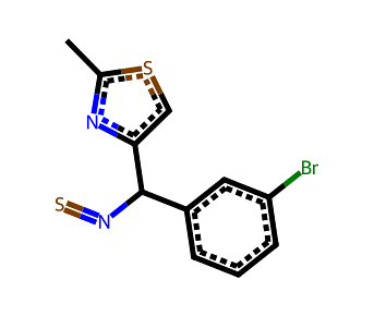 Cc1nc(C(N=S)c2cccc(Br)c2)cs1